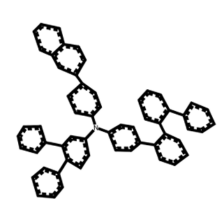 c1ccc(-c2ccc(N(c3ccc(-c4ccc5ccccc5c4)cc3)c3ccc(-c4ccccc4-c4ccccc4-c4ccccc4)cc3)cc2-c2ccccc2)cc1